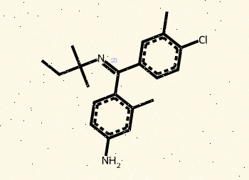 CCC(C)(C)/N=C(/c1ccc(Cl)c(C)c1)c1ccc(N)cc1C